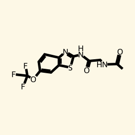 CC(=O)NCC(=O)Nc1nc2ccc(OC(F)(F)F)cc2s1